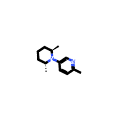 Cc1ccc(N2[C@H](C)CCC[C@H]2C)cn1